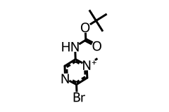 C[n+]1cc(Br)ncc1NC(=O)OC(C)(C)C